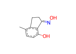 Cc1ccc(O)c2c1CC/C2=N\O